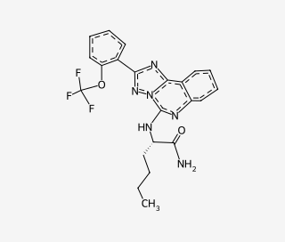 CCCC[C@H](Nc1nc2ccccc2c2nc(-c3ccccc3OC(F)(F)F)nn12)C(N)=O